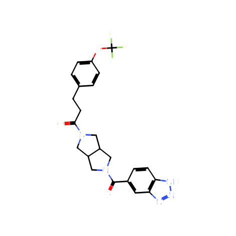 O=C(CCc1ccc(OC(F)(F)F)cc1)N1CC2CN(C(=O)c3ccc4[nH]nnc4c3)CC2C1